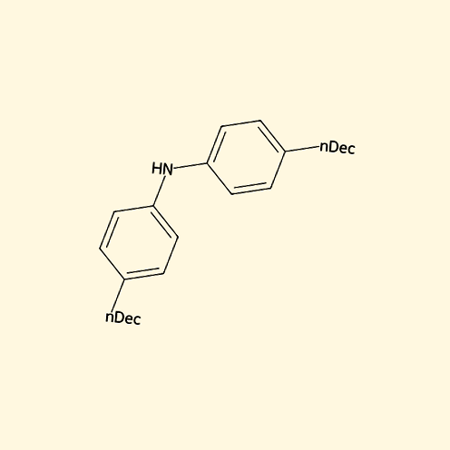 CCCCCCCCCCc1ccc(Nc2ccc(CCCCCCCCCC)cc2)cc1